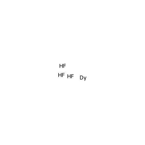 F.F.F.[Dy]